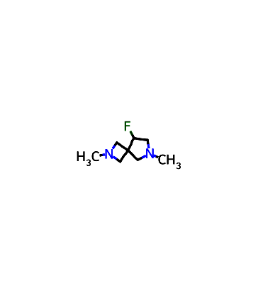 CN1CC(F)C2(C1)CN(C)C2